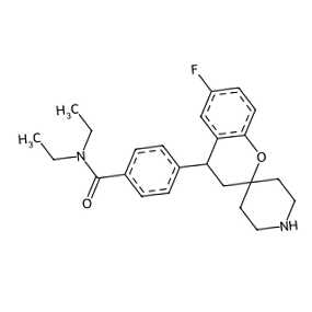 CCN(CC)C(=O)c1ccc(C2CC3(CCNCC3)Oc3ccc(F)cc32)cc1